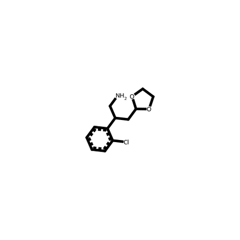 NCC(CC1OCCO1)c1ccccc1Cl